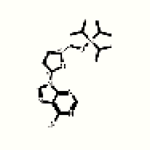 CC(C)[Si](OC[C@H]1[CH][CH][C@H](n2cnc3c(N)ncnc32)O1)(C(C)C)C(C)C